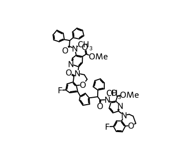 COC(=O)c1cc(N2CCOc3c(cc(F)cc3-c3cccc(C(C(=O)N(C)c4ccc(N5CCCOc6ccc(F)cc65)nc4C(=O)OC)c4ccccc4)c3)C2=O)ncc1N(C)C(=O)C(c1ccccc1)c1ccccc1